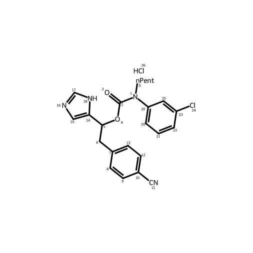 CCCCCN(C(=O)OC(Cc1ccc(C#N)cc1)c1cnc[nH]1)c1cccc(Cl)c1.Cl